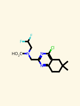 CC1(C)CCc2nc(CN(CC(F)F)C(=O)O)nc(Cl)c2C1